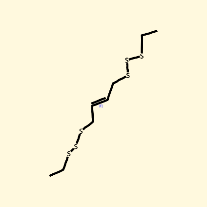 CCSSSC/C=C/CSSSCC